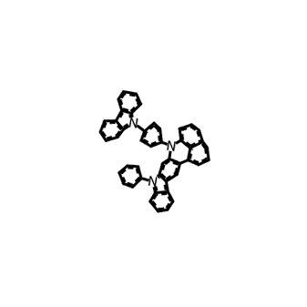 c1ccc(-n2c3ccccc3c3cc4c(cc32)N(c2ccc(-n3c5ccccc5c5ccccc53)cc2)c2cccc3cccc-4c23)cc1